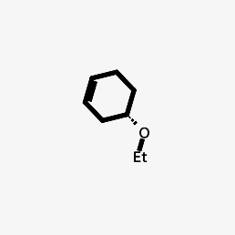 CCO[C@@H]1CC=CCC1